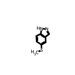 CSc1ccc2[nH]ncc2c1